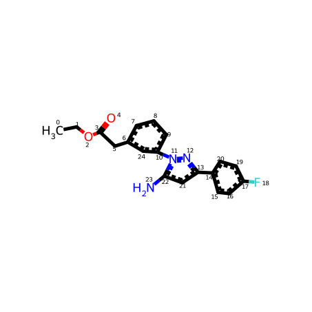 CCOC(=O)Cc1cccc(-n2nc(-c3ccc(F)cc3)cc2N)c1